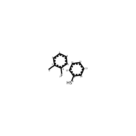 Cc1ccccc1F.Sc1ccccc1